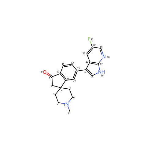 CN1CCC2(CC1)CC(=O)c1ccc(-c3c[nH]c4ncc(F)cc34)cc12